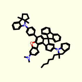 CCCCCCC1(C)Cc2ccccc2N1c1ccc2c(c1)C1(c3ccccc3-c3ccccc31)c1cc(-c3ccc(N4c5ccccc5C5(C)CCCC45C)cc3)c3oc4cc(N(C)C)ccc4c3c1-2